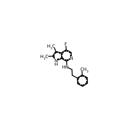 Cc1ccccc1CCNc1ncc(F)c2c(C)c(C)[nH]c12